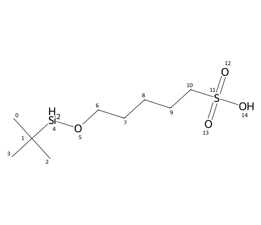 CC(C)(C)[SiH2]OCCCCCS(=O)(=O)O